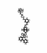 CC(C)(C)OC(=O)CCOCCc1cccc(CCN2C[C@H]3CC(OC(=O)Nc4ccccc4-c4ccccc4)C[C@H]3C2)c1